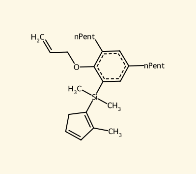 C=CCOc1c(CCCCC)cc(CCCCC)cc1[Si](C)(C)C1=C(C)C=CC1